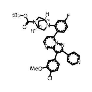 COc1cc(-c2c(-c3ccncc3)nn3c(-c4ccc(F)cc4N4C[C@@H]5C[C@H]4CN5C(=O)OC(C)(C)C)ccnc23)ccc1Cl